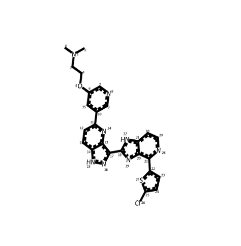 CN(C)CCOc1cncc(-c2ccc3[nH]nc(-c4nc5c(-c6ccc(Cl)s6)nccc5[nH]4)c3n2)c1